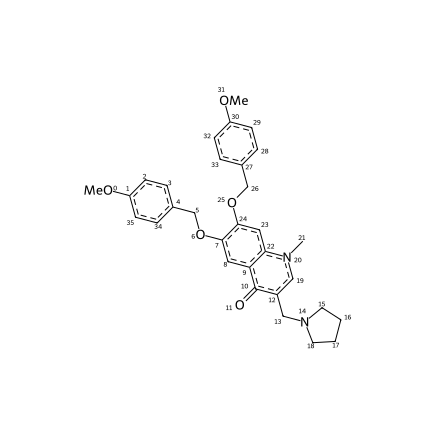 COc1ccc(COc2cc3c(=O)c(CN4CCCC4)cn(C)c3cc2OCc2ccc(OC)cc2)cc1